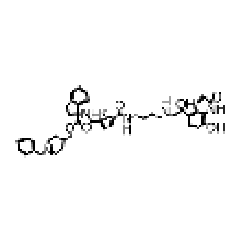 O=C(NCCCCNC[C@H](O)c1ccc(O)c2[nH]c(=O)ccc12)c1ccc(CNC2(C(=O)OCC3CCN(Cc4ccccc4)CC3)CCc3ccccc32)s1